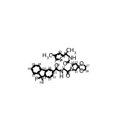 Cc1csc([C@@H](C)NC(=O)[C@@H]2CC3(CN2C(=O)CNC(=O)c2ccc4c(c2)-c2ccccc2C4(F)I)OCCO3)c1